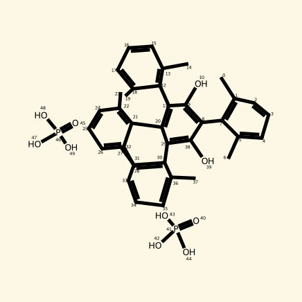 Cc1cccc(C)c1-c1c(O)c(-c2c(C)cccc2C)c(-c2c(C)cccc2C)c(-c2c(C)cccc2C)c1O.O=P(O)(O)O.O=P(O)(O)O